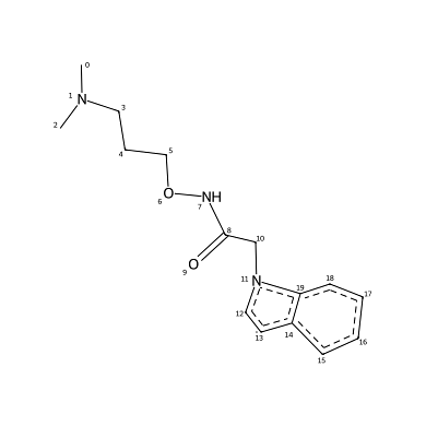 CN(C)CCCONC(=O)Cn1c[c]c2ccccc21